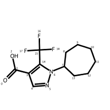 O=C(O)c1cnn(C2CCCCCC2)c1C(F)(F)F